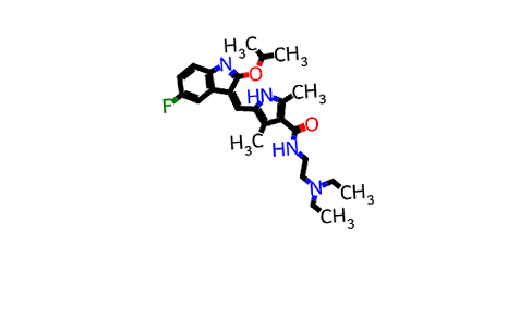 CCN(CC)CCNC(=O)c1c(C)[nH]c(/C=C2\C(OC(C)C)=Nc3ccc(F)cc32)c1C